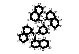 c1cc(N(c2cccc3ccccc23)c2cccc3ccccc23)cc(N(c2cccc3ccccc23)c2cccc3ccccc23)c1